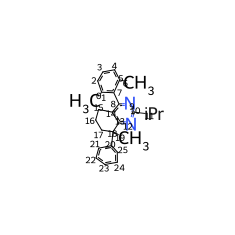 Cc1cccc(C)c1-c1nc(C(C)C)nc2c1CCCC2(C)c1ccccc1